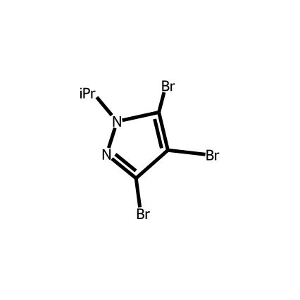 CC(C)n1nc(Br)c(Br)c1Br